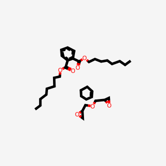 C(OCC1CO1)C1CO1.C1=CCCCC1.CCCCCCCCOC(=O)c1ccccc1C(=O)OCCCCCCCC